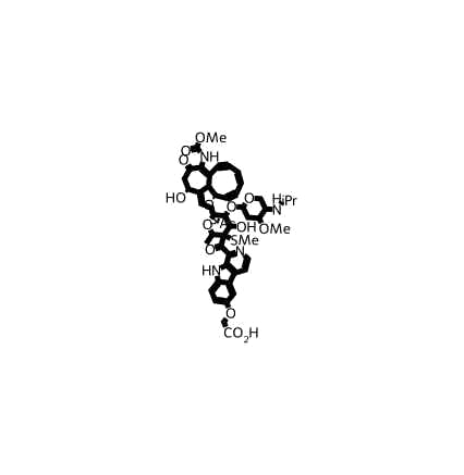 COC(=O)NC1=C2C#C/C=C\C#C[C@H](OC3OC(C)C(SC)(C(=O)c4nccc5c4[nH]c4ccc(OCC(=O)O)cc45)C(O)C3OC3CC(OC)C(NC(C)C)CO3)C2/C(=C\CSC(C)=O)[C@@H](O)CC1=O